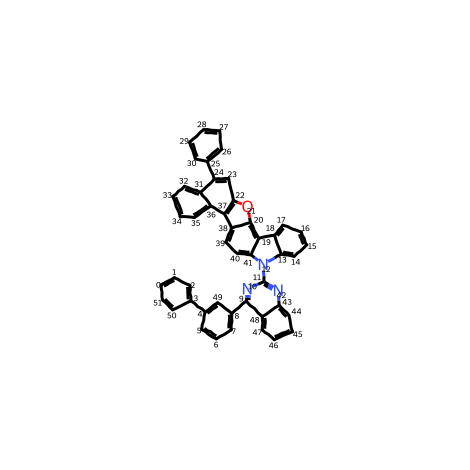 c1ccc(-c2cccc(-c3nc(-n4c5ccccc5c5c6oc7cc(-c8ccccc8)c8ccccc8c7c6ccc54)nc4ccccc34)c2)cc1